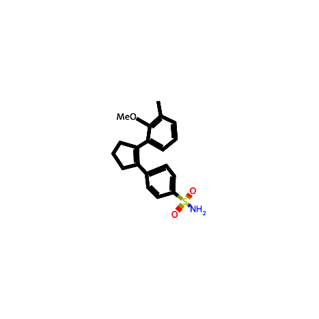 COc1c(C)cccc1C1=C(c2ccc(S(N)(=O)=O)cc2)CCC1